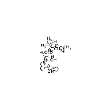 CNCCOC1(C)CC2(C)CC(C)(C)CC(Cn3ncc(-c4ccc(N5CCc6cccc(C(=O)Nc7nc8ccccc8s7)c6C5)nc4C(=O)O)c3C)(C2)C1